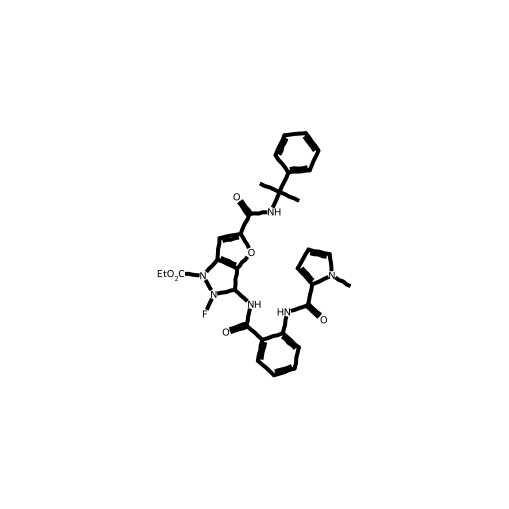 CCOC(=O)N1c2cc(C(=O)NC(C)(C)c3ccccc3)oc2C(NC(=O)c2ccccc2NC(=O)c2cccn2C)N1F